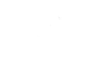 CCC(O)(c1ccccc1)C(c1ccccc1)(c1ccccc1)c1ccccc1